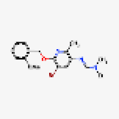 CCN(C)/C=N/c1cc(Br)c(OCc2ccccc2OC)nc1C